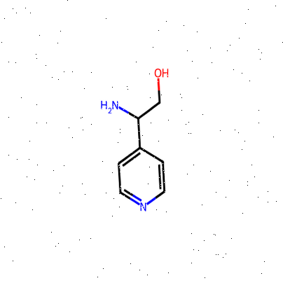 NC(CO)c1ccncc1